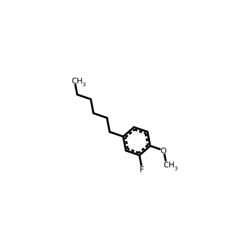 CCCCCCc1ccc(OC)c(F)c1